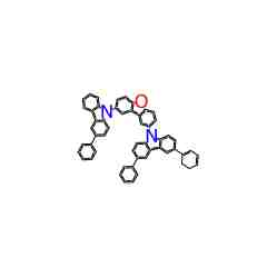 C1=CCCC(c2ccc3c(c2)c2cc(-c4ccccc4)ccc2n3-c2ccc3oc4ccc(-n5c6ccccc6c6cc(-c7ccccc7)ccc65)cc4c3c2)=C1